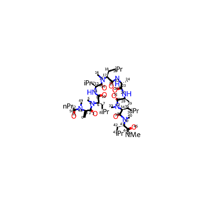 C=C(C(=O)N(C)[C@@H](CC(C)C)C(=O)N[C@H](C(=O)N(C)[C@@H](CC(C)C)C(=O)N[C@H](C)C(=O)N[C@@H](C)C(=O)N(C)[C@@H](CC(C)C)C(=O)N(C)[C@@H](CC(C)C)C(=O)NC)C(C)C)N(C)C(=O)CCC